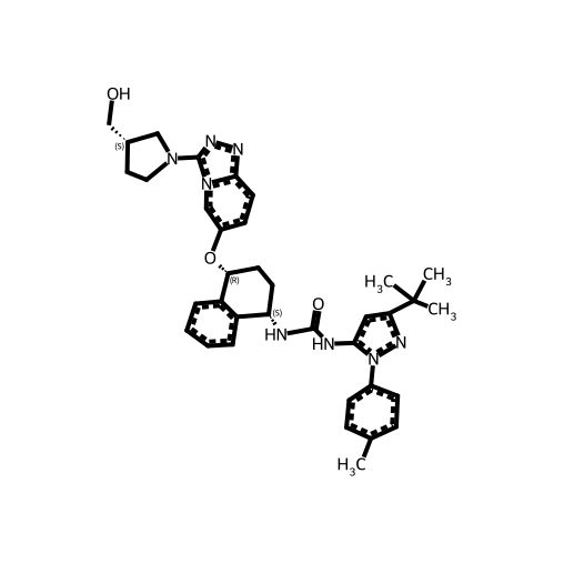 Cc1ccc(-n2nc(C(C)(C)C)cc2NC(=O)N[C@H]2CC[C@@H](Oc3ccc4nnc(N5CC[C@H](CO)C5)n4c3)c3ccccc32)cc1